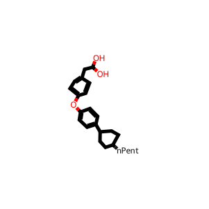 CCCCCC1CCC(c2ccc(Oc3ccc(CC(O)O)cc3)cc2)CC1